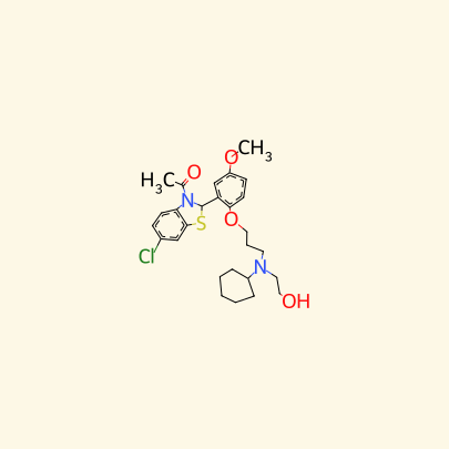 COc1ccc(OCCCN(CCO)C2CCCCC2)c(C2Sc3cc(Cl)ccc3N2C(C)=O)c1